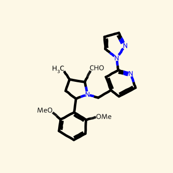 COc1cccc(OC)c1C1CC(C)C(C=O)N1Cc1ccnc(-n2cccn2)c1